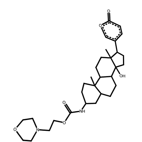 CC12CCC(NC(=O)OCCN3CCOCC3)CC1CCC1C2CCC2(C)C(c3ccc(=O)oc3)CCC12O